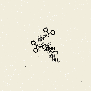 Nc1nc(C(=CCl)C(=O)NC2C(=O)N3CC(CSc4nnnn4CC(=O)OC(c4ccccc4)c4ccccc4)(C(=O)OC(c4ccccc4)c4ccccc4)CS[C@H]23)cs1